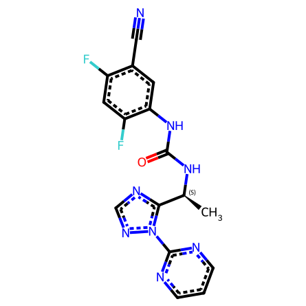 C[C@H](NC(=O)Nc1cc(C#N)c(F)cc1F)c1ncnn1-c1ncccn1